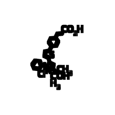 CC(C)(O)c1cc(-c2ccc(-c3ccc(/C=C/C(=O)O)cc3)s2)n(-c2ccccc2Cl)n1